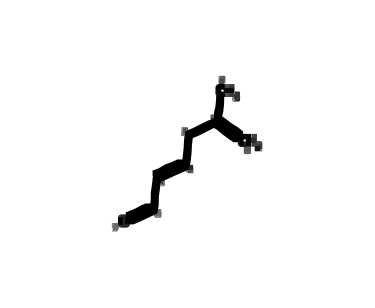 C=C(C)C/C=C/C=O